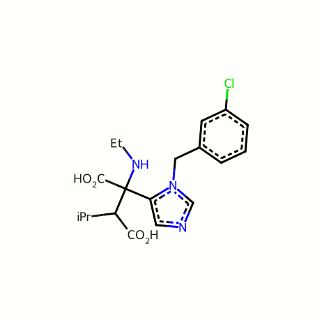 CCNC(C(=O)O)(c1cncn1Cc1cccc(Cl)c1)C(C(=O)O)C(C)C